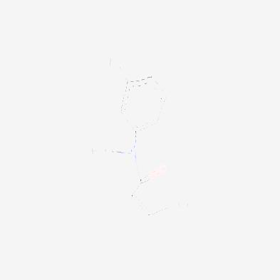 CCc1cccc(N(C)C(=O)/C=C\C=O)c1